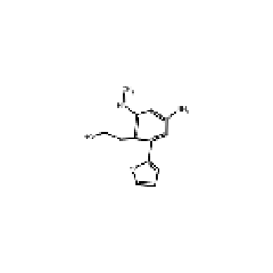 CNc1cc(N)cc(-c2ccco2)c1CCO